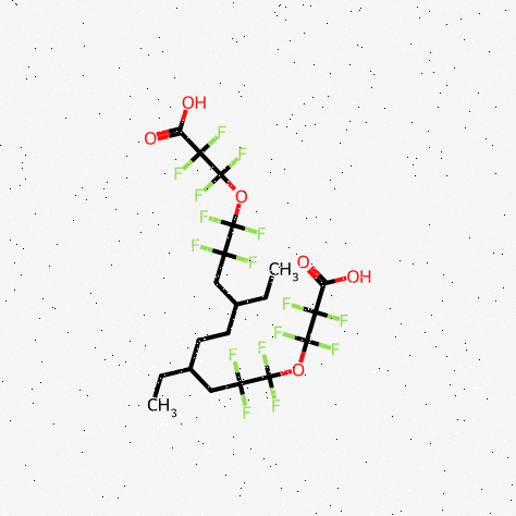 CCC(CCC(CC)CC(F)(F)C(F)(F)OC(F)(F)C(F)(F)C(=O)O)CC(F)(F)C(F)(F)OC(F)(F)C(F)(F)C(=O)O